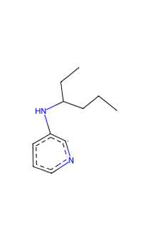 CCCC(CC)Nc1[c]nccc1